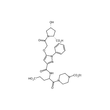 CCOC(=O)N1CCN(C(=O)C(CCC(=O)O)NC(=O)c2cc(OCC(=O)N3C[C@H](O)C[C@@H]3C(=O)O)n(-c3ccccc3)n2)CC1